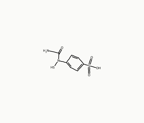 NC(=O)N(S)c1ccc(S(=O)(=O)O)cc1